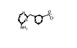 Nc1ccnc(Cc2cccc([N+](=O)[O-])c2)n1